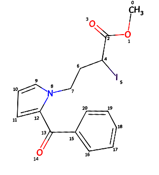 COC(=O)C(I)CCn1cccc1C(=O)c1ccccc1